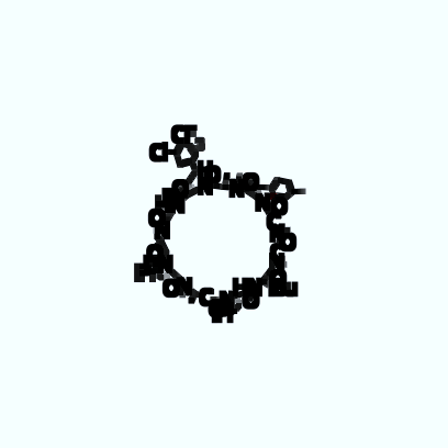 CC[C@H](C)[C@@H]1NC(=O)[C@H](CC(C)C)N(C)C(=O)C[C@@H](C)N(C)C(=O)[C@H](CC(C)C)NC(=O)C(C)(C)N(C)C(=O)[C@H](CC(C)C)NC(=O)[C@H](CCc2ccc(C(F)(F)F)c(Cl)c2)NC(=O)[C@@H](C)N(C)C(=O)[C@H](Cc2ccc(C)cc2)N(C)C(=O)CN(C)C(=O)CN(C)C1=O